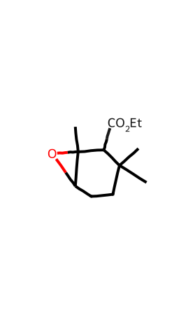 CCOC(=O)C1C(C)(C)CCC2OC21C